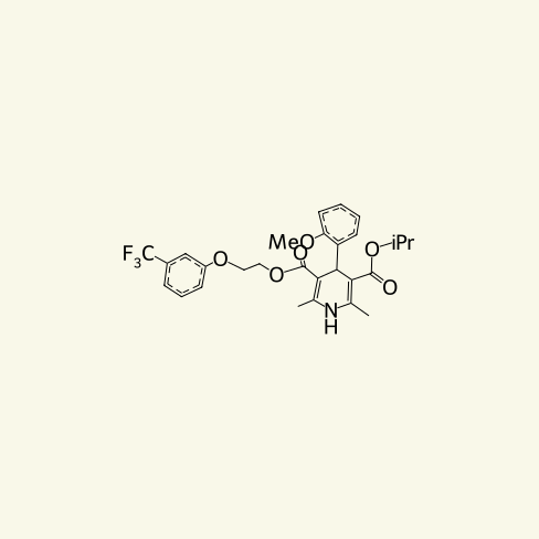 COc1ccccc1C1C(C(=O)OCCOc2cccc(C(F)(F)F)c2)=C(C)NC(C)=C1C(=O)OC(C)C